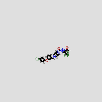 CC(=O)c1nn(C(=O)N2CC3CN(Cc4cccc(Oc5ccc(Cl)cc5)c4)CC3C2)cc1C(F)(F)F